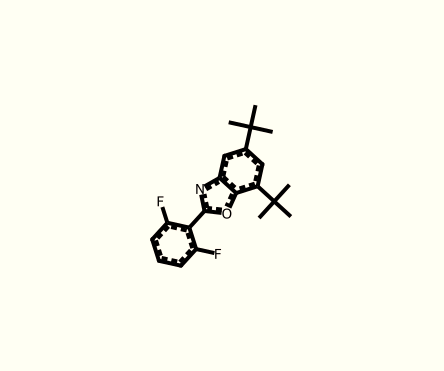 CC(C)(C)c1cc(C(C)(C)C)c2oc(-c3c(F)cccc3F)nc2c1